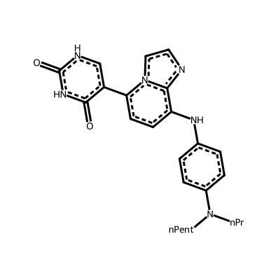 CCCCCN(CCC)c1ccc(Nc2ccc(-c3c[nH]c(=O)[nH]c3=O)n3ccnc23)cc1